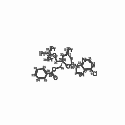 CC(C)N1C[C@H](n2cnc3c(Cl)ncnc32)O[C@@](COC(=O)c2ccccc2)(CO[Si](C(C)C)(C(C)C)C(C)C)C1